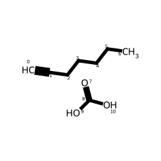 C#CCCCCC.O=C(O)O